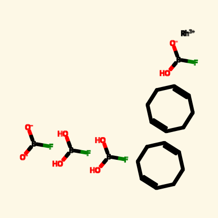 C1=CCCC=CCC1.C1=CCCC=CCC1.OB(O)F.OB(O)F.[O-]B(O)F.[O-]B([O-])F.[Rh+3]